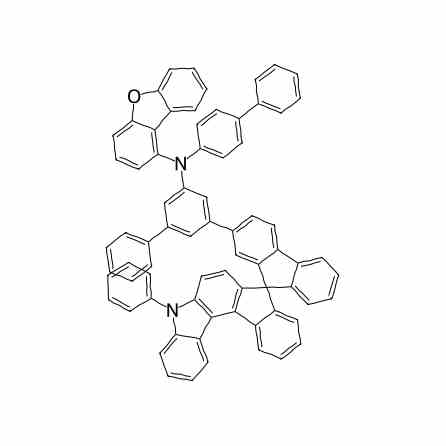 c1ccc(-c2ccc(N(c3cc(-c4ccccc4)cc(-c4ccc5c(c4)C4(c6ccccc6-5)c5ccccc5-c5c4ccc4c5c5ccccc5n4-c4ccccc4)c3)c3cccc4oc5ccccc5c34)cc2)cc1